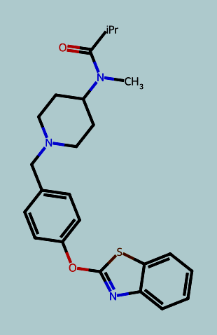 CC(C)C(=O)N(C)C1CCN(Cc2ccc(Oc3nc4ccccc4s3)cc2)CC1